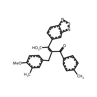 COc1ccc(CC(C(=O)c2ccc(C)cc2)=C(C(=O)O)c2ccc3nsnc3c2)cc1C